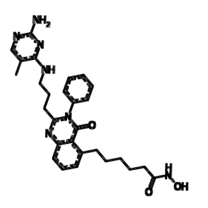 Cc1cnc(N)nc1NCCCc1nc2cccc(CCCCCC(=O)NO)c2c(=O)n1-c1ccccc1